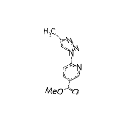 COC(=O)c1ccc(-n2cc(C)nn2)nc1